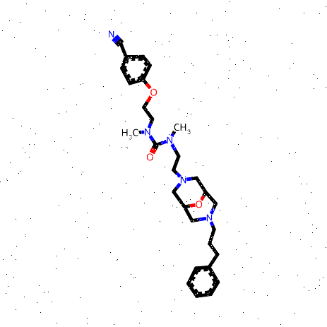 CN(CCOc1ccc(C#N)cc1)C(=O)N(C)CCN1CC2CN(CCCc3ccccc3)CC(C1)O2